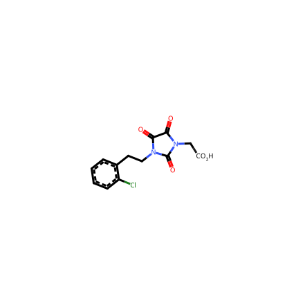 O=C(O)CN1C(=O)C(=O)N(CCc2ccccc2Cl)C1=O